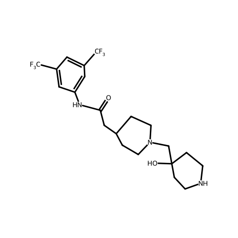 O=C(CC1CCN(CC2(O)CCNCC2)CC1)Nc1cc(C(F)(F)F)cc(C(F)(F)F)c1